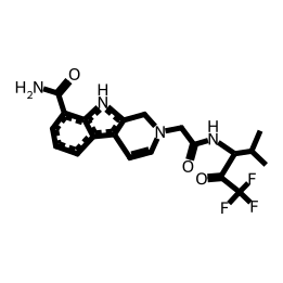 CC(C)C(NC(=O)CN1C=Cc2c([nH]c3c(C(N)=O)cccc23)C1)C(=O)C(F)(F)F